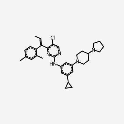 C/C=C(\c1ccc(C)cc1C)c1nc(Nc2cc(C3CC3)cc(N3CCC(N4CCCC4)CC3)c2)ncc1Cl